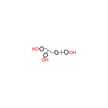 CC(C)(c1ccc(O)cc1)c1ccc(CCC(Cc2ccc(O)cc2)c2ccc(O)cc2)cc1